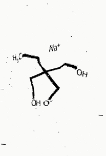 CCC(C[O-])(CO)CO.[Na+]